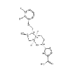 O=C(O)c1csc([C@H]2CC[C@@H]3[C@@H](COc4cccc(F)c4F)[C@H](O)C[C@@H]3O2)n1